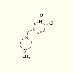 CN1CCN(Cc2ccc(Cl)[n+]([O-])c2)CC1